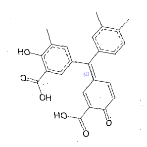 Cc1ccc(/C(=C2\C=CC(=O)C(C(=O)O)=C2)c2cc(C)c(O)c(C(=O)O)c2)cc1C